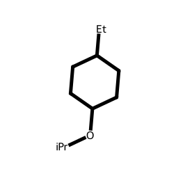 CCC1CCC(OC(C)C)CC1